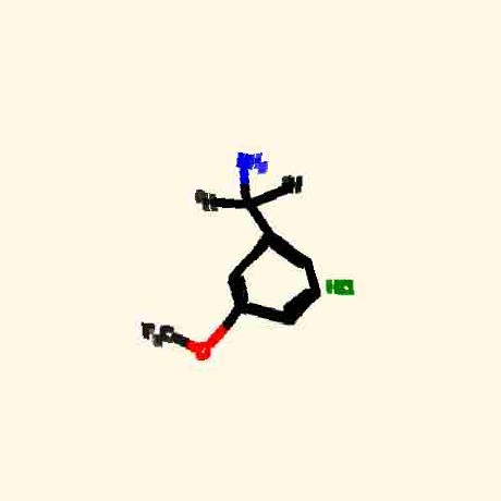 Cl.[2H]C([2H])(N)c1cccc(OC(F)(F)F)c1